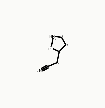 N#CCC1CCNO1